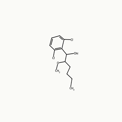 CCCCC(OC)C(O)c1c(Cl)cccc1Cl